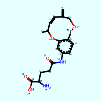 C=C1/C=C\C(C)Oc2cc(NC(=O)CCC(N)C(=O)O)ccc2COC1